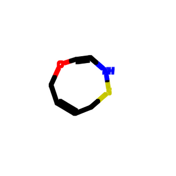 C1=C\CSN/C=C\OC/1